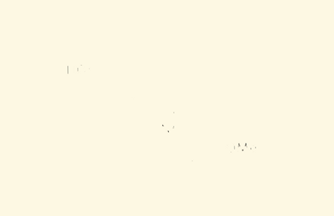 COC1CCN(CCCCO)CC1